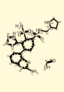 Nc1nc2c(-c3ccc(S(=O)(=O)NC[C@@H]4CCCN4)c(S(N)(=O)=O)c3-c3nnn[nH]3)cccc2s1.O=CO